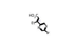 CC/C(=C\C(=O)O)c1cnc(Br)cn1